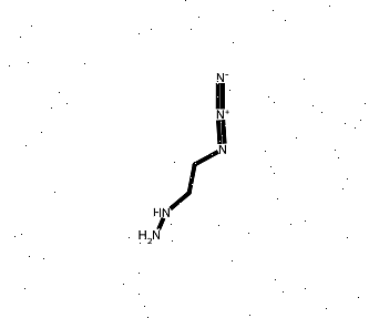 [N-]=[N+]=NCCNN